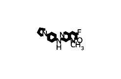 Cn1c(=O)c(F)cc2cnc(Nc3ccc(N4CCCC4)cc3)cc21